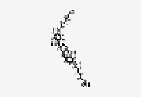 O=C1C=C(O)/C(=N\c2ccc(NCCCCCCO)cc2)C=C1Nc1ccc(NCCCCCCO)cc1